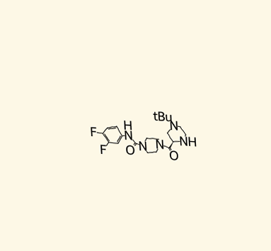 CC(C)(C)N1CCN[C@@H](C(=O)N2CCN(C(=O)Nc3ccc(F)c(F)c3)CC2)C1